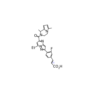 CCc1cc(C(=O)N2CCn3c(C)ccc3C2C)nc2cc(-c3ccc(/C=C/C(=O)O)cc3F)nn12